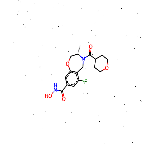 C[C@H]1COc2cc(C(=O)NO)cc(F)c2CN1C(=O)C1CCOCC1